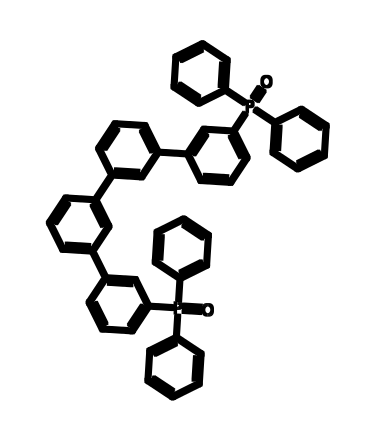 O=P(c1ccccc1)(c1ccccc1)c1cccc(-c2cccc(-c3cccc(-c4cccc(P(=O)(c5ccccc5)c5ccccc5)c4)c3)c2)c1